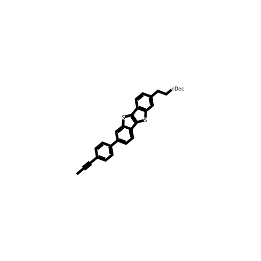 CC#Cc1ccc(-c2ccc3c(c2)sc2c4ccc(CCCCCCCCCCCC)cc4sc32)cc1